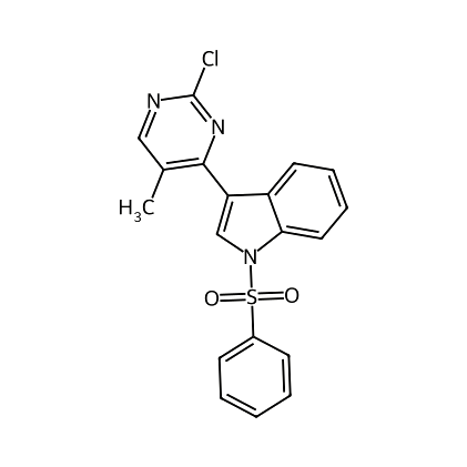 Cc1cnc(Cl)nc1-c1cn(S(=O)(=O)c2ccccc2)c2ccccc12